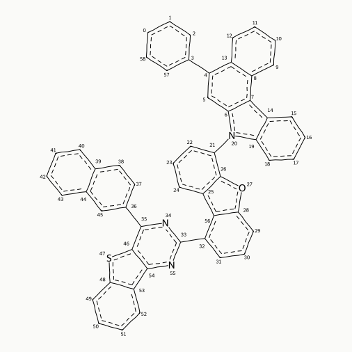 c1ccc(-c2cc3c(c4ccccc24)c2ccccc2n3-c2cccc3c2oc2cccc(-c4nc(-c5ccc6ccccc6c5)c5sc6ccccc6c5n4)c23)cc1